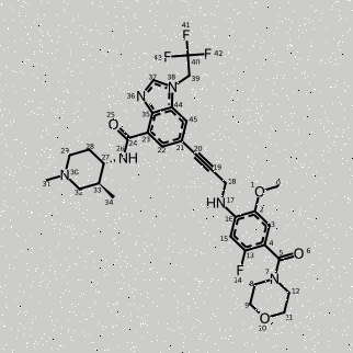 COc1cc(C(=O)N2CCOCC2)c(F)cc1NCC#Cc1cc(C(=O)N[C@H]2CCN(C)C[C@@H]2C)c2ncn(CC(F)(F)F)c2c1